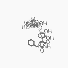 O=c1[nH]c(=O)n(CC2CCCCC2)cc1[C@@H]1O[C@H](COP(=O)(O)OP(=O)(O)OP(=O)(O)O)[C@@H](O)[C@H]1O